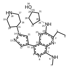 CCc1nc2c(NC)ncc(-c3cnn(C4CCNCC4)c3)c2nc1N[C@@H]1CC[C@H](O)C1